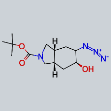 CC(C)(C)OC(=O)N1C[C@H]2C[C@H](O)C(N=[N+]=[N-])C[C@H]2C1